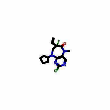 C=C[C@@]1(F)CN(C2CCCC2)c2nc(Cl)ncc2N(C)C1=O